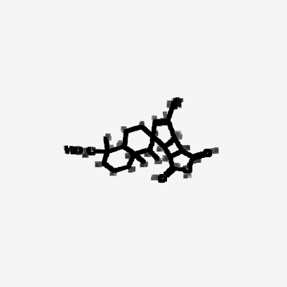 CC(C)C1=CC2(CCC3C(C)(C(=O)O)CCCC3(C)C2C)C2C3C(=O)OC(=O)C3C12